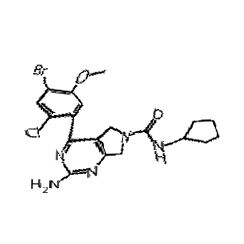 COc1cc(-c2nc(N)nc3c2CN(C(=O)NC2CCCC2)C3)c(Cl)cc1Br